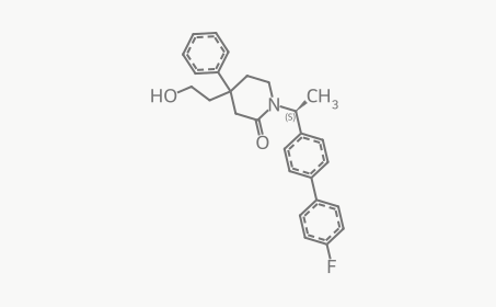 C[C@@H](c1ccc(-c2ccc(F)cc2)cc1)N1CCC(CCO)(c2ccccc2)CC1=O